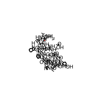 CC(=O)O.CCCC[C@H](NC(=O)[C@H](CO)NC(=O)[C@H](Cc1ccc(O)cc1)NC(=O)[C@H](CO)NC(C)=O)C(=O)N[C@@H](CCC(=O)O)C(=O)N[C@@H](Cc1c[nH]cn1)C(=O)N[C@H](Cc1ccccc1)C(=O)N[C@@H](CCCNC(=N)N)C(=O)N[C@@H](Cc1c[nH]c2ccccc12)C(=O)NCC(=O)N[C@@H](CCCCN)C(=O)N1CCC[C@H]1C(=O)N[C@H](C(N)=O)C(C)C